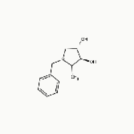 CC1[C@H](O)[C@@H](O)CN1Cc1ccccc1